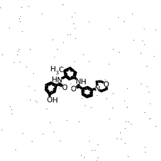 Cc1ccc(NC(=O)c2cccc(N3CCOCC3)c2)cc1NC(=O)c1cccc(O)c1